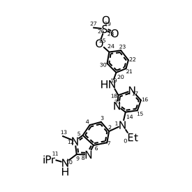 CCN(c1ccc2c(c1)nc(NC(C)C)n2C)c1ccnc(Nc2cccc(OS(C)(=O)=O)c2)n1